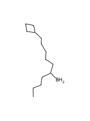 BC(CCCC)CCCCCC1CCC1